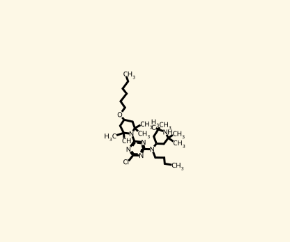 CCCCCCOC1CC(C)(C)N(c2nc(Cl)nc(N(CCCC)C3CC(C)(C)NC(C)(C)C3)n2)C(C)(C)C1